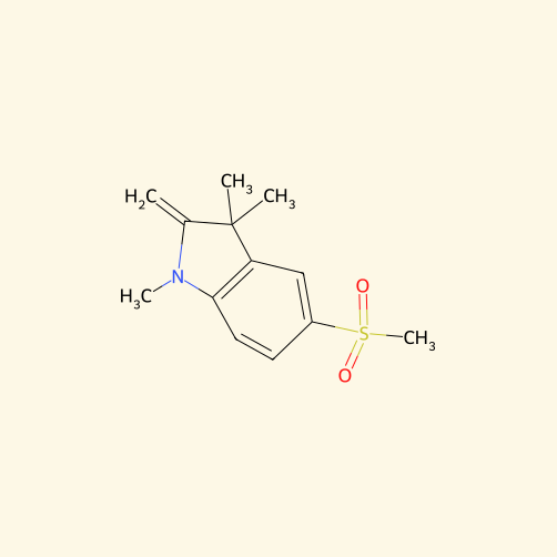 C=C1N(C)c2ccc(S(C)(=O)=O)cc2C1(C)C